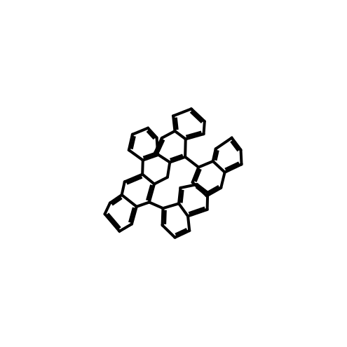 c1ccc(-c2cc3ccccc3c(-c3cccc4ccccc34)c2Cc2ccc3ccccc3c2-c2cccc3ccccc23)cc1